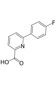 O=C(O)c1cccc(-c2ccc(F)cc2)n1